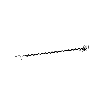 O=C(O)CCCCCCCCCCCCCCCCCCCCCCCCCCCCCCCCCCCP(=O)(O)O